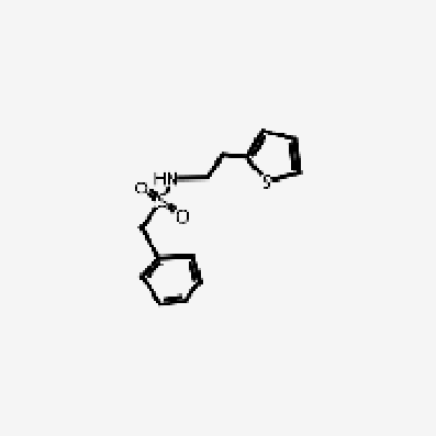 O=S(=O)(Cc1ccccc1)NCCc1cccs1